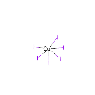 [I][Cu]([I])([I])([I])([I])[I]